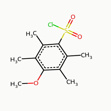 COc1c(C)c(C)c(S(=O)(=O)Cl)c(C)c1C